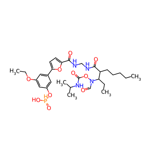 CCCCCC(C(=O)NCNC(=O)c1ccc(-c2cc(OCC)cc(O[PH](=O)O)c2)o1)C(CC)N(C=O)OC(=O)NC(C)C